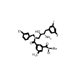 CCCCN(CC)C(=O)c1cc(C)cc(C(=O)N(Cc2cccc(CC)c2)C[C@@H](O)[C@@H](N)Cc2cc(F)cc(F)c2)c1